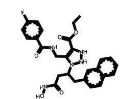 CCOC(=O)C1=C(CNC(=O)c2ccc(F)cc2)N(C(CC(=O)NO)Cc2ccc3ccccc3c2)NN1